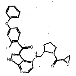 O=C(c1ccc(Oc2ccccc2)cc1Cl)c1c[nH]c2ncnc(NCC3CCCN3C(=O)C3CO3)c12